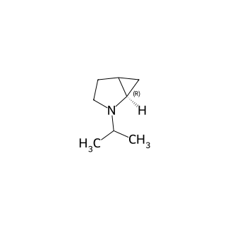 CC(C)N1CCC2C[C@H]21